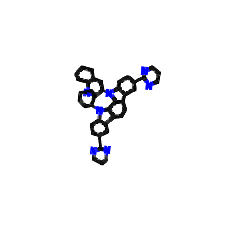 c1ccc(-n2c3ccc(-c4ncccn4)cc3c3ccc4c5cc(-c6ncccn6)ccc5n(-c5cnc6ccccc6c5)c4c32)cc1